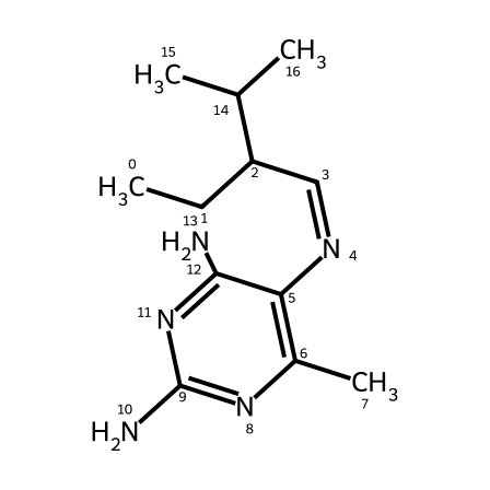 CCC(/C=N\c1c(C)nc(N)nc1N)C(C)C